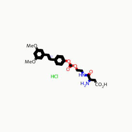 COc1cc(/C=C/c2ccc(OC(=O)OCCNC(=O)C(N)CC(=O)O)cc2)cc(OC)c1.Cl